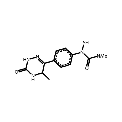 CNC(=O)N(S)c1ccc(C2=NNC(=O)NC2C)cc1